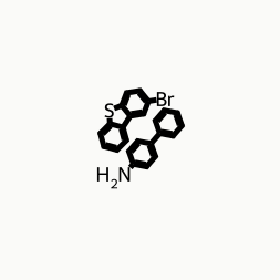 Brc1ccc2sc3ccccc3c2c1.Nc1ccc(-c2ccccc2)cc1